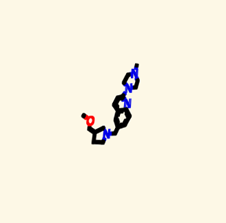 COCC1CCN(Cc2ccc3nc(N4CCN(C)CC4)ccc3c2)C1